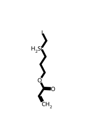 C=CC(=O)OCCC[SiH2]CI